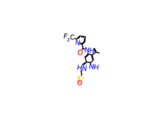 C=C(C)C1=CC(=N)/C(=C\NCC[S+]=O)C=C1NC(=O)c1cccc(C(F)(F)F)n1